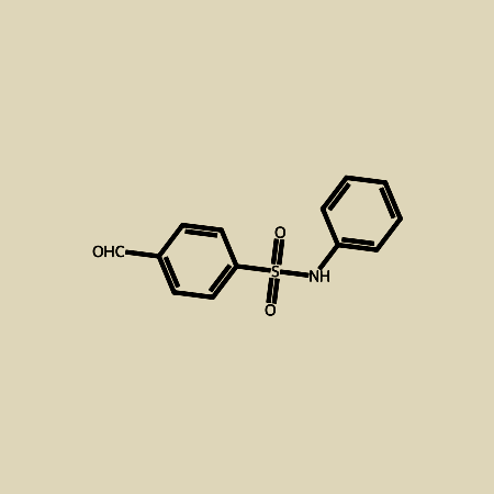 O=Cc1ccc(S(=O)(=O)Nc2ccccc2)cc1